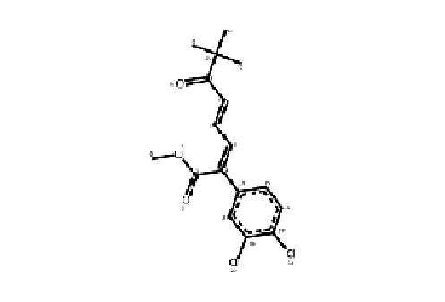 COC(=O)C(=CC=CC(=O)C(C)(C)C)c1ccc(Cl)c(Cl)c1